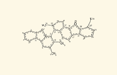 Cc1cc2c(oc3ccccc32)c(-c2c3ccc4c5cccc(F)c5oc4c3cc[n+]2C)c1C